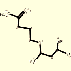 C=C(CCCOC(C)CC(CC)CCCC)C(=O)O